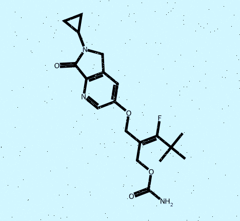 CC(C)(C)C(F)=C(COC(N)=O)COc1cnc2c(c1)CN(C1CC1)C2=O